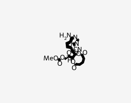 COC(=O)OC[C@H]1O[C@@](C#N)(c2ccc3c(N)ncnn23)[C@@H]2OC(=O)CCCC(=O)O[C@@H]21